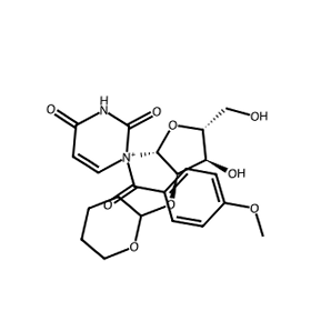 COc1ccc(C(=O)[N+]2([C@@H]3O[C@H](CO)[C@@H](O)[C@H]3OC3CCCCO3)C=CC(=O)NC2=O)cc1